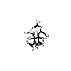 CCCCCCCCC(=O)OC(CO)C(O)C(O)(C(=O)CCCCCCCC)C(O)(C(=O)CCCCCCCC)C(O)C(=O)CCCCCCCC